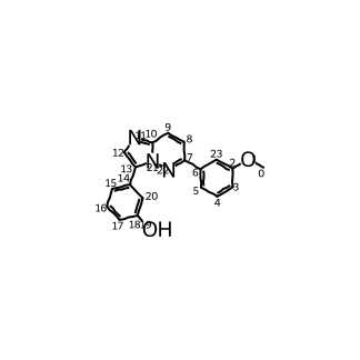 COc1cccc(-c2ccc3ncc(-c4cccc(O)c4)n3n2)c1